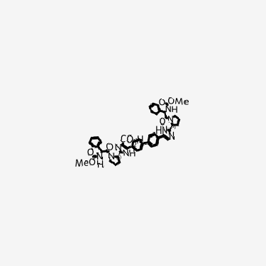 COC(=O)NC(C(=O)N1CCC[C@H]1c1ncc(-c2ccc(-c3ccc(-c4[nH]c([C@@H]5CCCN5C(=O)C(NC(=O)OC)c5ccccc5)nc4C(=O)O)cc3)cc2)[nH]1)c1ccccc1